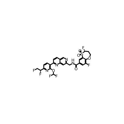 O=C(NCc1cc2nc(-c3ccc([C@@H](F)CF)nc3OC(F)F)ccc2cn1)c1cc(F)c2c(c1)S(=O)(=O)[C@@H](F)CCO2